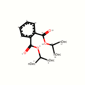 CCCCCCCCCCC(CCCCCCCCCC)OC(=O)c1ccccc1C(=O)OC(CCCCCCCCCC)CCCCCCCCCC